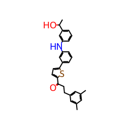 Cc1cc(C)cc(CCC(=O)c2ccc(-c3cccc(Nc4cccc(C(C)O)c4)c3)s2)c1